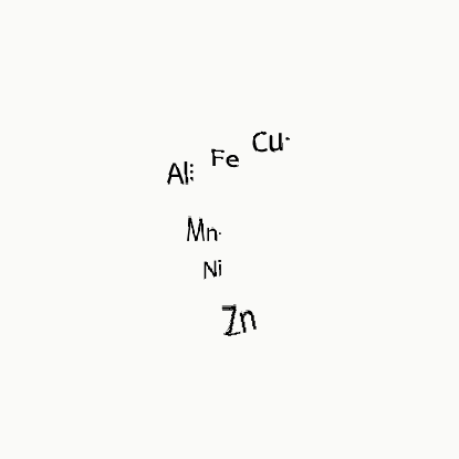 [Al].[Cu].[Fe].[Mn].[Ni].[Zn]